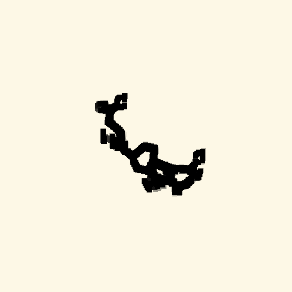 O=C(Cl)CCNC1CCc2c([nH]c3ncnc(Cl)c23)C1